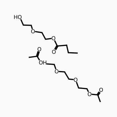 CC(=O)O.CCCC(=O)OCCOCCO.CCOCCOCCOC(C)=O